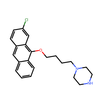 Clc1ccc2cc3ccccc3c(OCCCCN3CCNCC3)c2c1